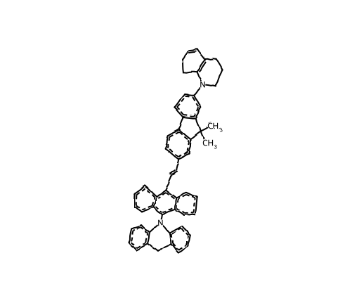 CC1(C)c2cc(/C=C/c3c4ccccc4c(N4c5ccccc5Cc5ccccc54)c4ccccc34)ccc2-c2ccc(N3CCCC4=C3CCC=C4)cc21